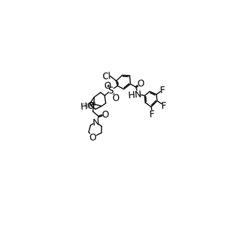 C[C@H]1CC2CC(S(=O)(=O)c3cc(C(=O)Nc4cc(F)c(F)c(F)c4)ccc3Cl)CC1[C@@]2(O)CC(=O)N1CCOCC1